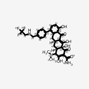 CN(C)C1C(O)=C(C(N)=O)C(=O)[C@@]2(O)C(O)=C3C(=O)c4c(O)ccc(-c5ccc(CNCC(F)(F)F)cc5)c4C[C@@H]3C[C@H]12